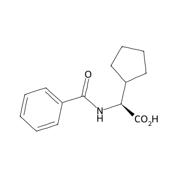 O=C(N[C@H](C(=O)O)C1CCCC1)c1ccccc1